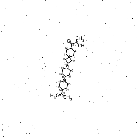 CC(C)C(=O)[C@H]1CCC2(CC1)C[C@H](N1CCC(N3CCC(C(C)C)CC3)CC1)C2